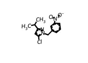 CC(C)c1cc(Cl)n(Cc2cccc([N+](=O)[O-])c2)n1